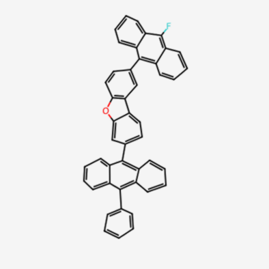 Fc1c2ccccc2c(-c2ccc3oc4cc(-c5c6ccccc6c(-c6ccccc6)c6ccccc56)ccc4c3c2)c2ccccc12